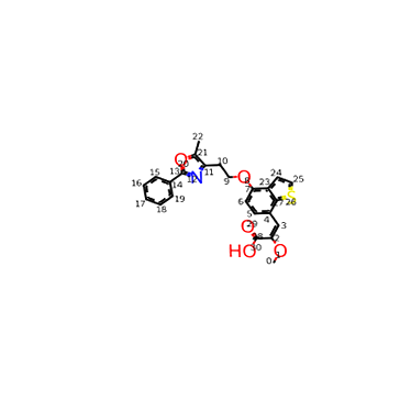 CO/C(=C/c1ccc(OCCc2nc(-c3ccccc3)oc2C)c2ccsc12)C(=O)O